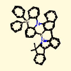 CC1(C)c2ccccc2-c2c1n1c3c(cccc23)-c2cc3ccccc3c3c2B1c1cccc2c1N3c1ccccc1[Si]2(c1ccccc1)c1ccccc1